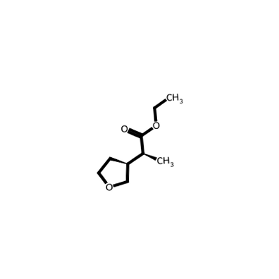 CCOC(=O)[C@@H](C)[C@@H]1CCOC1